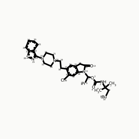 CC(C)C(OC(=O)NC(C)(C)CC(C)(C)C)N1C(=O)Cc2cc(CCN3CCN(c4nsc5ccccc45)CC3)c(Cl)cc21